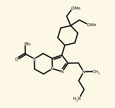 COCC1(COC)CCC(c2c(CN(C)CCN)nn3c2CN(C(=O)C(C)(C)C)CC3)CC1